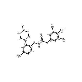 CC1CCN(c2nc(C(F)(F)F)ccc2CNC(=O)Cc2cc(Br)c(O)c(Br)c2)CC1